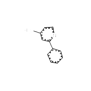 Cc1c[c]nc(-c2ccccc2)c1